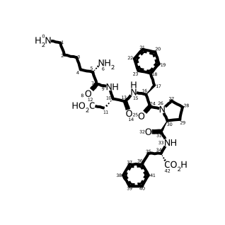 NCCCC[C@H](N)C(=O)N[C@@H](CC(=O)O)C(=O)N[C@@H](Cc1ccccc1)C(=O)N1CCC[C@H]1C(=O)N[C@@H](Cc1ccccc1)C(=O)O